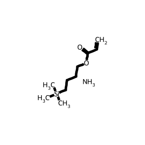 C=CC(=O)OCCCC[Si](C)(C)C.N